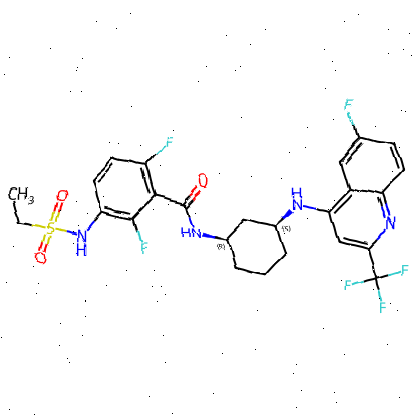 CCS(=O)(=O)Nc1ccc(F)c(C(=O)N[C@@H]2CCC[C@H](Nc3cc(C(F)(F)F)nc4ccc(F)cc34)C2)c1F